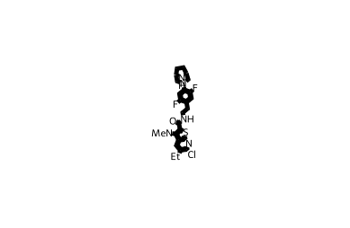 CCc1cc2c(NC)c(C(=O)NCCc3cc(F)c(N4CC5CCC(C4)N5)cc3F)sc2nc1Cl